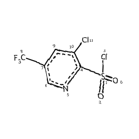 O=S(=O)(Cl)c1ncc(C(F)(F)F)cc1Cl